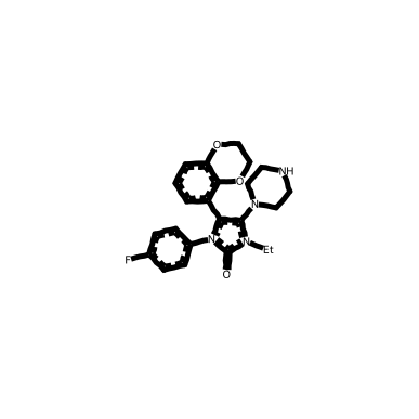 CCn1c(N2CCNCC2)c(-c2cccc3c2OCCO3)n(-c2ccc(F)cc2)c1=O